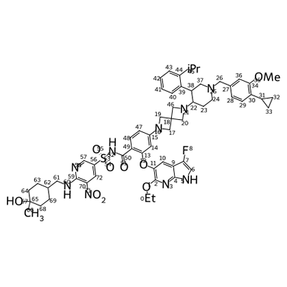 CCOc1nc2[nH]cc(F)c2cc1Oc1cc(N2CC3(C2)CN(C2CCN(Cc4ccc(C5CC5)c(OC)c4)CC2c2ccccc2C(C)C)C3)ccc1C(=O)NS(=O)(=O)c1cnc(NCC2CCC(C)(O)CC2)c([N+](=O)[O-])c1